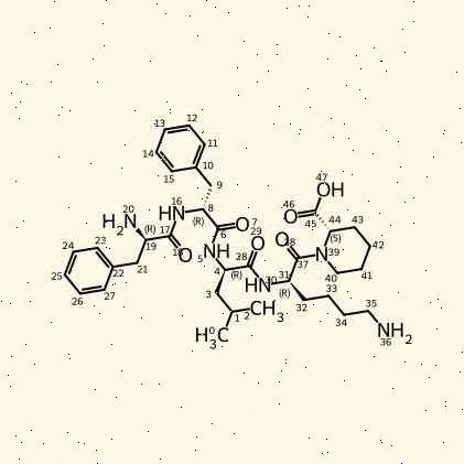 CC(C)C[C@@H](NC(=O)[C@@H](Cc1ccccc1)NC(=O)[C@H](N)Cc1ccccc1)C(=O)N[C@H](CCCCN)C(=O)N1CCCC[C@H]1C(=O)O